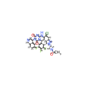 CC(=O)N1CC(n2cc3cc(Nc4nc(=O)n(-c5cncc6ccccc56)c(=O)n4Cc4cc(F)c(F)c(F)c4)c(Cl)cc3n2)C1